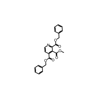 COC(=O)c1c(C(=O)OCc2ccccc2)ccnc1C(=O)OCc1ccccc1